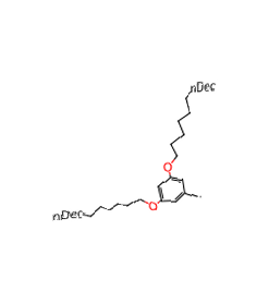 [CH2]c1cc(OCCCCCCCCCCCCCCCC)cc(OCCCCCCCCCCCCCCCC)c1